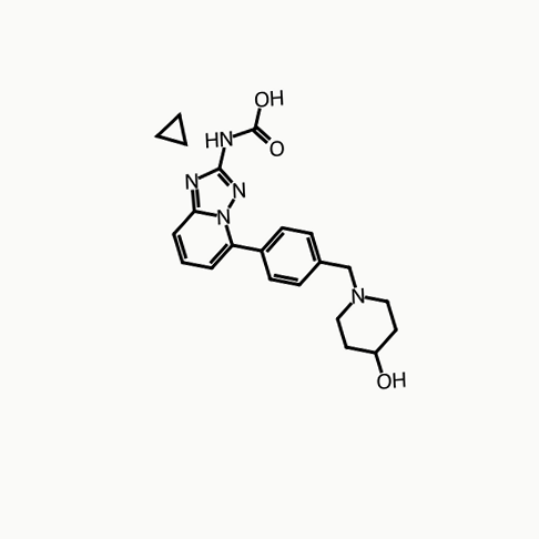 C1CC1.O=C(O)Nc1nc2cccc(-c3ccc(CN4CCC(O)CC4)cc3)n2n1